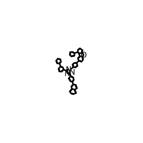 c1ccc(-c2cccc(-c3nc(-c4ccc(-c5ccc6ccccc6c5)cc4)nc(-c4ccc(-c5ccc6oc7cccc(-c8ccccc8)c7c6c5)cc4)n3)c2)cc1